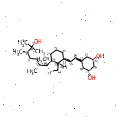 C[C@H](CC[C@@H](C)C(C)(C)O)[C@H]1CC[C@H]2/C(=C/C=C3C[C@@H](O)C[C@H](O)C3)CCC[C@]12C